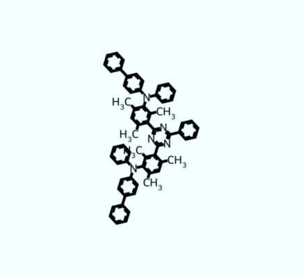 Cc1cc(C)c(N(c2ccccc2)c2ccc(-c3ccccc3)cc2)c(C)c1-c1nc(-c2ccccc2)nc(-c2c(C)cc(C)c(N(c3ccccc3)c3ccc(-c4ccccc4)cc3)c2C)n1